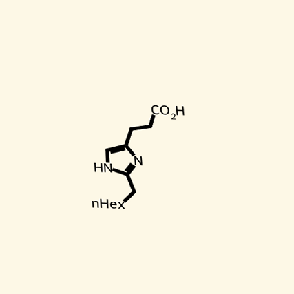 CCCCCCCc1nc(CCC(=O)O)c[nH]1